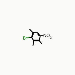 Cc1cc([N+](=O)[O-])c(C)c(C)c1Br